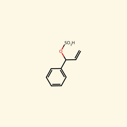 C=CC(OS(=O)(=O)O)c1ccccc1